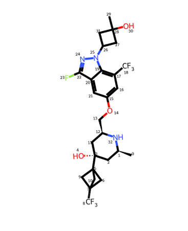 C[C@H]1C[C@@](O)(C23CC(C(F)(F)F)(C2)C3)C[C@@H](COc2cc(C(F)(F)F)c3c(c2)c(F)nn3C2CC(C)(O)C2)N1